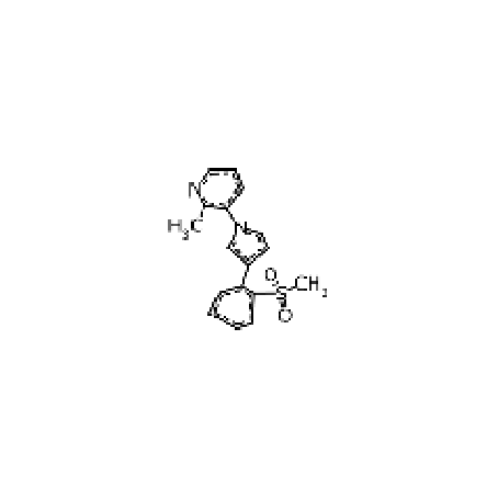 Cc1ncccc1-n1ccc(-c2ccccc2S(C)(=O)=O)c1